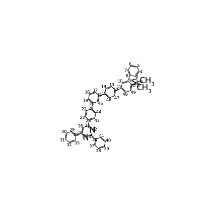 C[Si]1(C)c2ccccc2-c2cc(-c3ccc(-c4cccc(-c5ccc(-c6cc(-c7ccccc7)nc(-c7ccccc7)n6)cc5)c4)cc3)ccc21